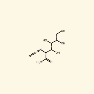 [N-]=[N+]=NC(C(N)=O)C(O)C(O)C(O)CO